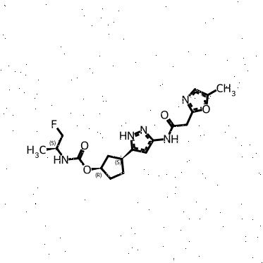 Cc1cnc(CC(=O)Nc2cc([C@H]3CC[C@@H](OC(=O)N[C@@H](C)CF)C3)[nH]n2)o1